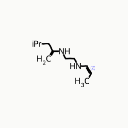 C=C(CC(C)C)NCCN/C=C\C